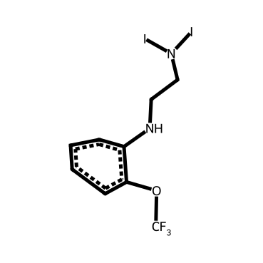 FC(F)(F)Oc1ccccc1NCCN(I)I